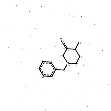 CC1CCN(Cc2ccccc2)CC1=O